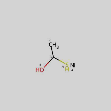 CC(O)S.[Ni]